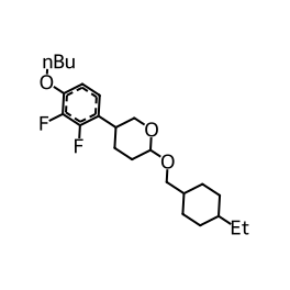 CCCCOc1ccc(C2CCC(OCC3CCC(CC)CC3)OC2)c(F)c1F